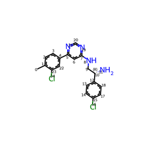 Cc1ccc(-c2cc(NC[C@H](N)c3ccc(Cl)cc3)ncn2)cc1Cl